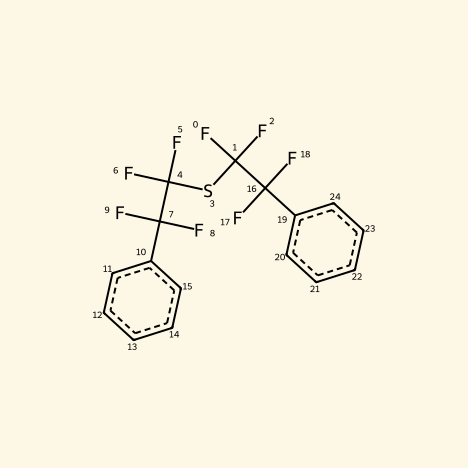 FC(F)(SC(F)(F)C(F)(F)c1ccccc1)C(F)(F)c1ccccc1